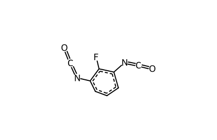 O=C=Nc1cccc(N=C=O)c1F